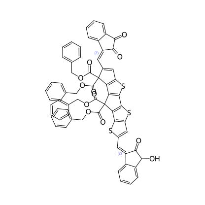 O=C1C(=O)c2ccccc2/C1=C/C1=Cc2sc3c(c2C1(C(=O)OCc1ccccc1)C(=O)OCc1ccccc1)C(C(=O)OCc1ccccc1)(C(=O)OCc1ccccc1)c1c-3sc2cc(/C=C3\C(=O)C(O)c4ccccc43)sc12